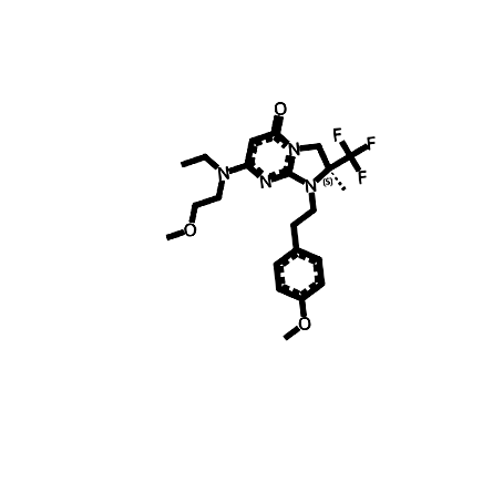 CCN(CCOC)c1cc(=O)n2c(n1)N(CCc1ccc(OC)cc1)[C@](C)(C(F)(F)F)C2